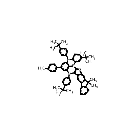 Cc1ccc(-c2cc3c4c(c2)N(c2ccc(C(C)(C)C)cc2)c2c(sc5cc6c(cc25)-c2ccccc2C6(C)C)B4c2cc(C(C)(C)C)ccc2N3c2ccc(C(C)(C)C)cc2)cc1